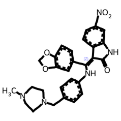 CN1CCN(Cc2ccc(N/C(=C3\C(=O)Nc4cc([N+](=O)[O-])ccc43)c3ccc4c(c3)OCO4)cc2)CC1